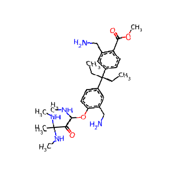 CCC(CC)(c1ccc(OC(NC)C(=O)C(C)(NC)NC)c(CN)c1)c1ccc(C(=O)OC)c(CN)c1